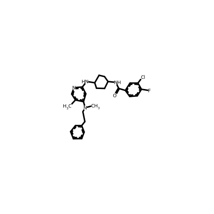 Cc1cnc(NC2CCC(NC(=O)c3ccc(F)c(Cl)c3)CC2)cc1N(C)CCc1ccccc1